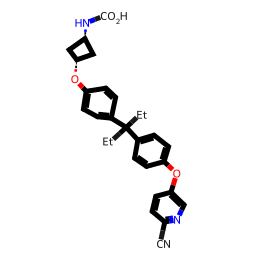 CCC(CC)(c1ccc(Oc2ccc(C#N)nc2)cc1)c1ccc(O[C@H]2C[C@@H](NC(=O)O)C2)cc1